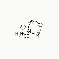 C1=Cc2cc3ccc(cc4nc(cc5ccc(cc1n2)[nH]5)C=C4)[nH]3.N[C@@H](Cc1ccccc1)C(=O)O